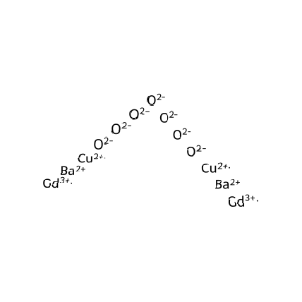 [Ba+2].[Ba+2].[Cu+2].[Cu+2].[Gd+3].[Gd+3].[O-2].[O-2].[O-2].[O-2].[O-2].[O-2].[O-2]